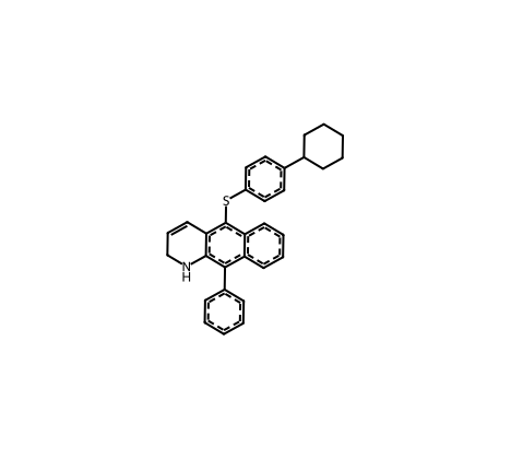 C1=Cc2c(c(-c3ccccc3)c3ccccc3c2Sc2ccc(C3CCCCC3)cc2)NC1